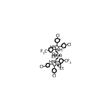 CCOc1cc(C(F)(F)F)ccc1C1(C=CS(=O)(=O)C=CC2(c3ccc(C(F)(F)F)cc3OCC)NC(c3ccc(Cl)cc3)C(c3ccc(Cl)cc3)N2)NC(c2ccc(Cl)cc2)C(c2ccc(Cl)cc2)N1